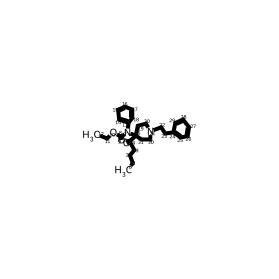 CCCCC(=O)C1(N(C(=O)OCC)c2ccccc2)CCN(CCc2ccccc2)CC1